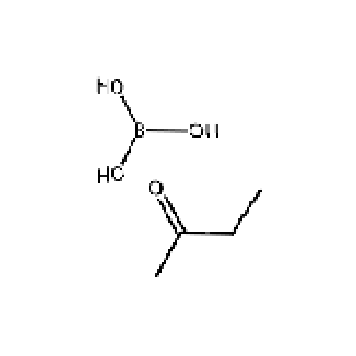 CCC(C)=O.OB(O)O